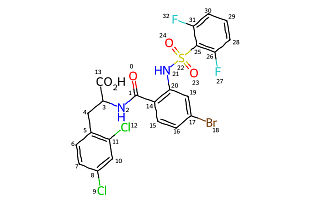 O=C(NC(Cc1ccc(Cl)cc1Cl)C(=O)O)c1ccc(Br)cc1NS(=O)(=O)c1c(F)cccc1F